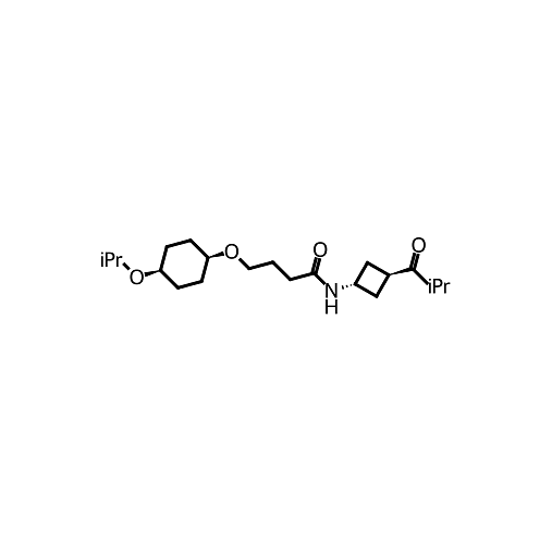 CC(C)O[C@H]1CC[C@@H](OCCCC(=O)N[C@H]2C[C@H](C(=O)C(C)C)C2)CC1